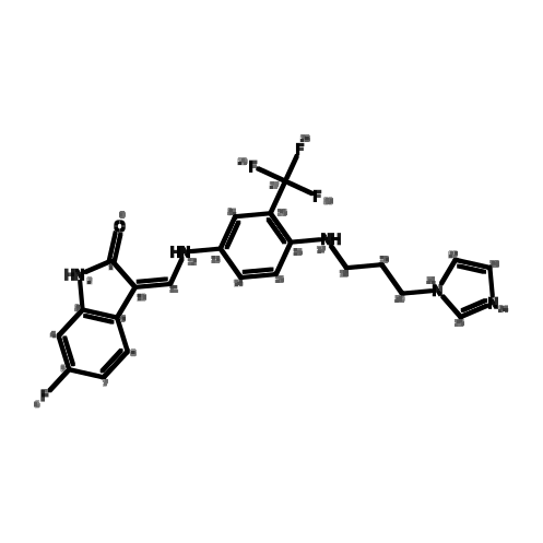 O=C1Nc2cc(F)ccc2/C1=C/Nc1ccc(NCCCn2ccnc2)c(C(F)(F)F)c1